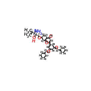 CC(C)C(N)[C@@H](O)COc1ccc2c(=O)cc(-c3cc(OCc4ccccc4)cc(OCc4ccccc4)c3)oc2c1